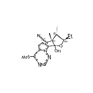 CC[C@H]1OC(O)(c2ccc3c(SC)ncnn23)[C@](C)(N=[N+]=[N-])[C@@H]1C